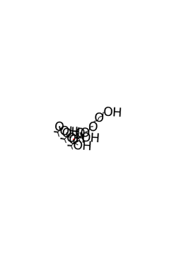 C=C(C)C(=O)O.C=C(C)C(=O)O.C=C(C)C(=O)O.C=C(C)C(=O)O.OCCOCCOCCO